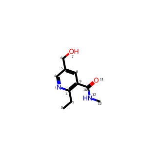 CCc1ncc(CO)cc1C(=O)NC